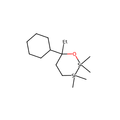 CCC1(C2CCCCC2)CC[Si](C)(C)[Si](C)(C)O1